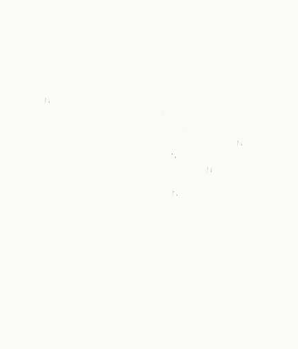 N#Cc1ccc(-c2c(-c3ccc(F)cc3F)nc3[nH]c(N)cc(=O)n23)cc1